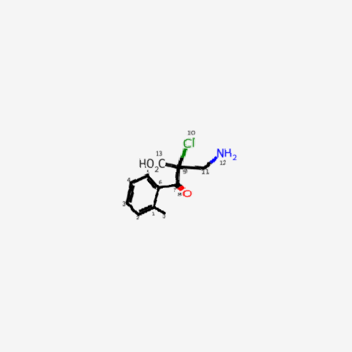 Cc1ccccc1C(=O)C(Cl)(CN)C(=O)O